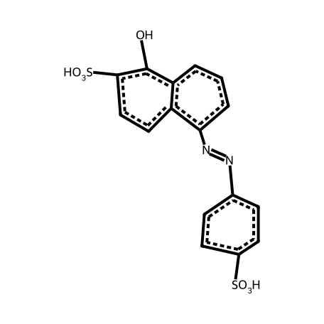 O=S(=O)(O)c1ccc(/N=N/c2cccc3c(O)c(S(=O)(=O)O)ccc23)cc1